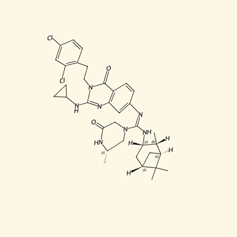 C[C@H]1[C@@H](NC(=Nc2ccc3c(=O)n(CCc4ccc(Cl)cc4Cl)c(NC4CC4)nc3c2)N2CC(=O)N[C@@H](C)C2)C[C@@H]2C[C@@H]1C2(C)C